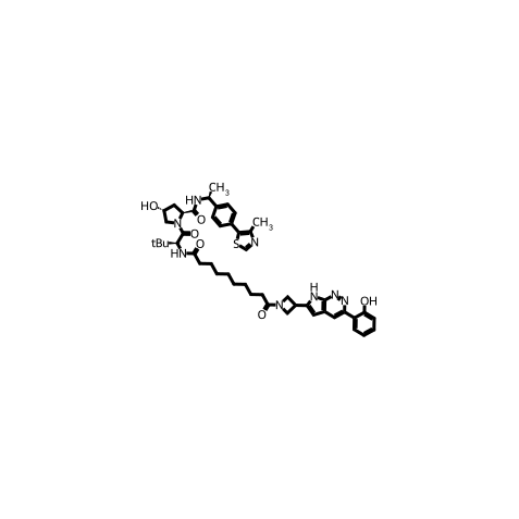 Cc1ncsc1-c1ccc([C@H](C)NC(=O)[C@@H]2C[C@@H](O)CN2C(=O)[C@@H](NC(=O)CCCCCCCCC(=O)N2CC(c3cc4cc(-c5ccccc5O)nnc4[nH]3)C2)C(C)(C)C)cc1